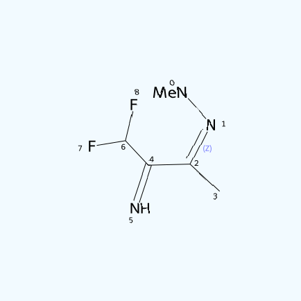 CN/N=C(/C)C(=N)C(F)F